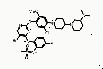 COc1cc(N2CCC(N3CCCC(N(C)C)C3)CC2)c(Cl)cc1Nc1ncc(Br)c(Nc2ccc(F)cc2NS(C)(=O)=O)n1